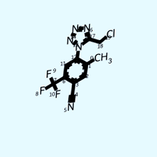 Cc1cc(C#N)c(C(F)(F)F)cc1-n1nnnc1CCl